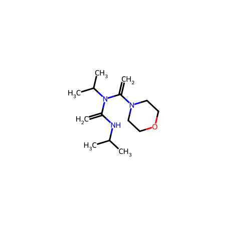 C=C(NC(C)C)N(C(=C)N1CCOCC1)C(C)C